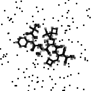 CC(C)(N)C(=O)N[C@H](C(=O)N[C@H](C(=O)N1C[C@]2(C[C@H]1C(=O)NC(CC1CCC1)C(=O)C(N)=O)C(C)(C)C21CCC1)C(C)(C)C)C1CCCCC1